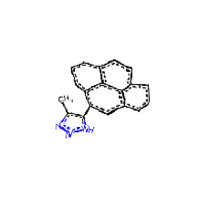 Cc1nn[nH]c1-c1cc2cccc3ccc4cccc1c4c32